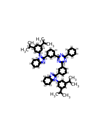 CC(C)c1cc(C(C)C)cc(-n2c(-c3cccc(-c4nc(-c5ccccc5)nc(-c5cccc(-c6nc7ccccc7n6-c6cc(C(C)C)cc(C(C)C)c6)c5)n4)c3)nc3ccccc32)c1